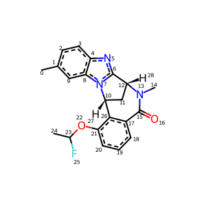 Cc1ccc2nc3n(c2c1)[C@@H]1C[C@H]3N(C)C(=O)c2cccc(OC(C)F)c21